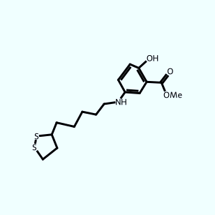 COC(=O)c1cc(NCCCCCC2CCSS2)ccc1O